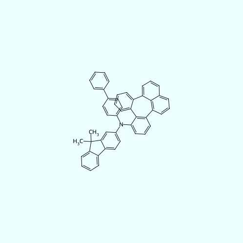 CC1(C)c2ccccc2-c2ccc(N(c3ccc(-c4ccccc4)cc3)c3cccc4c3-c3ccccc3-c3cccc5cccc-4c35)cc21